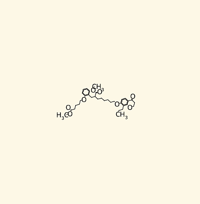 CCCc1c(OCCCCCCC(Cc2ccccc2OCCCCC(=O)OC)C(=O)OC)ccc2c1OCCC2=O